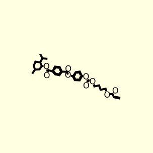 C=CC(=O)OCCCCOC(=O)Oc1ccc(OC(=O)c2ccc(C(=O)OC3CC(C)CCC3C(C)C)cc2)cc1